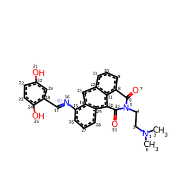 CN(C)CCN1C(=O)c2cccc3cc4c(/N=C/c5cc(O)ccc5O)cccc4c(c23)C1=O